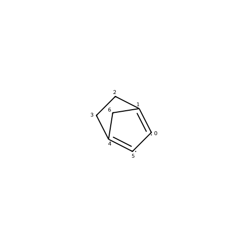 [C]1=C2CCC(=[C]1)C2